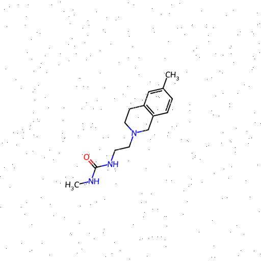 CNC(=O)NCCN1CCc2cc(C)ccc2C1